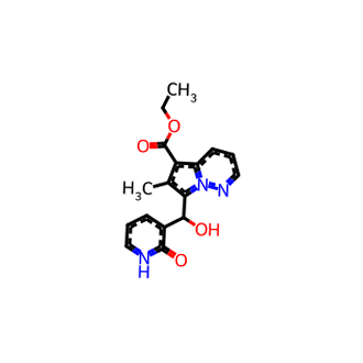 CCOC(=O)c1c(C)c(C(O)c2ccc[nH]c2=O)n2ncccc12